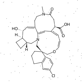 CN1CCC2=C/[C@@H](O)[C@@H]3CC[C@H]3CN3C[C@@]4(CCCc5cc(Cl)ccc54)COC=CC=C(\C=C\23)[C@H](C(=O)O)CC1=O